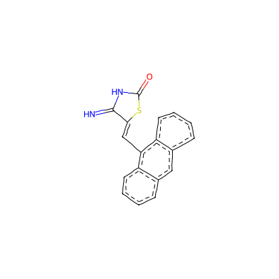 N=C1NC(=O)SC1=Cc1c2ccccc2cc2ccccc12